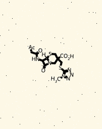 CC(=O)CC(=O)NC1C(=O)N2CC(CSc3nnnn3C)(C(=O)O)CS[C@H]12